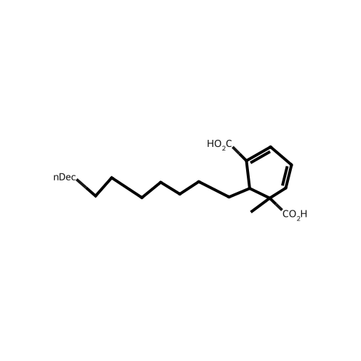 CCCCCCCCCCCCCCCCCC1C(C(=O)O)=CC=CC1(C)C(=O)O